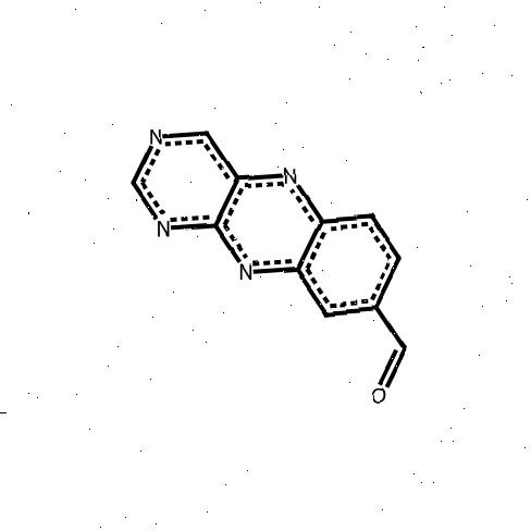 O=Cc1ccc2nc3cncnc3nc2c1